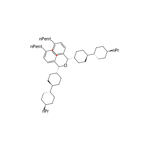 CCCCCc1ccc(C(OC(c2ccc(CCCCC)cc2)[C@H]2CC[C@H]([C@H]3CC[C@H](CCC)CC3)CC2)[C@H]2CC[C@H]([C@H]3CC[C@H](CCC)CC3)CC2)cc1